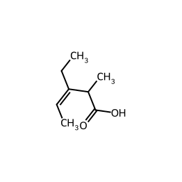 CC=C(CC)C(C)C(=O)O